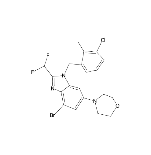 Cc1c(Cl)cccc1Cn1c(C(F)F)nc2c(Br)cc(N3CCOCC3)cc21